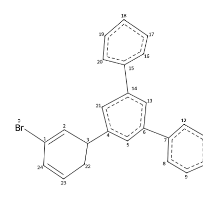 BrC1=CC(c2cc(-c3ccccc3)cc(-c3ccccc3)c2)CC=C1